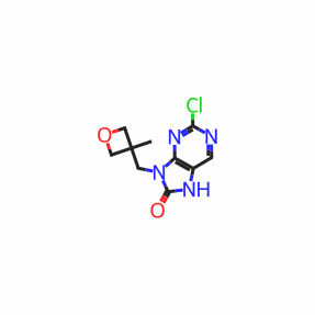 CC1(Cn2c(=O)[nH]c3cnc(Cl)nc32)COC1